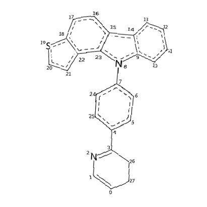 C1=CN=C(c2ccc(-n3c4ccccc4c4ccc5sccc5c43)cc2)CC1